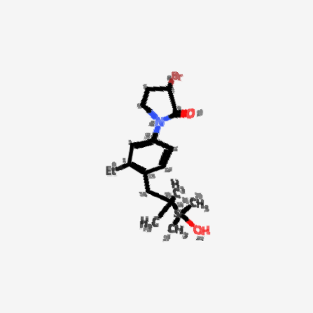 CCc1cc(N2CCC(Br)C2=O)ccc1CC(C)(C)[Si](C)(C)O